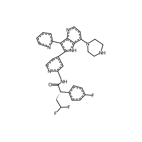 O=C(Nc1cc(-c2[nH]c3c(N4CCNCC4)ccnc3c2-c2ccccn2)ccn1)[C@@H](CC(F)F)c1ccc(F)cc1